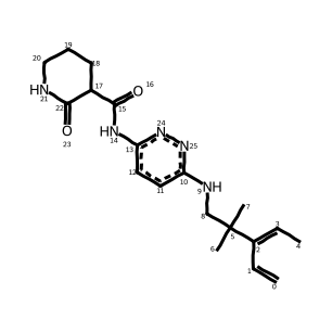 C=C/C(=C\C)C(C)(C)CNc1ccc(NC(=O)C2CCCNC2=O)nn1